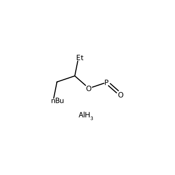 CCCCCC(CC)OP=O.[AlH3]